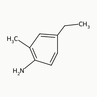 CCc1ccc(N)c(C)c1